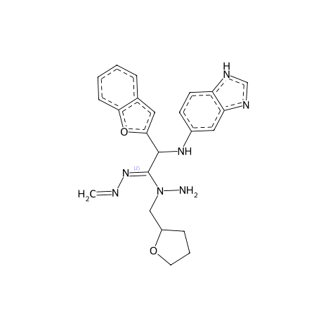 C=N/N=C(/C(Nc1ccc2[nH]cnc2c1)c1cc2ccccc2o1)N(N)CC1CCCO1